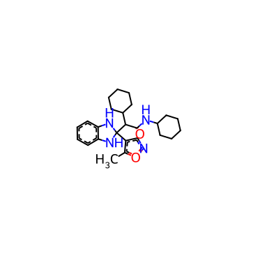 Cc1oncc1C1(C(C(=O)NC2CCCCC2)C2CCCCC2)Nc2ccccc2N1